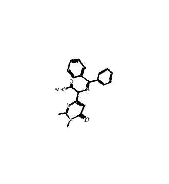 COC(=O)C(N=C(c1ccccc1)c1ccccc1)c1cc(=O)n(C)c(C)n1